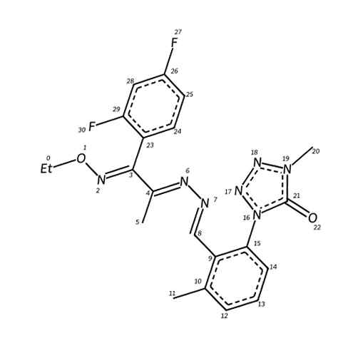 CCO/N=C(/C(C)=N/N=C/c1c(C)cccc1-n1nnn(C)c1=O)c1ccc(F)cc1F